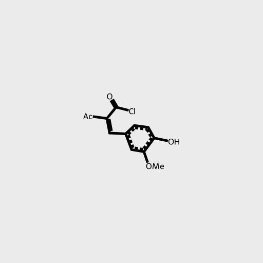 COc1cc(C=C(C(C)=O)C(=O)Cl)ccc1O